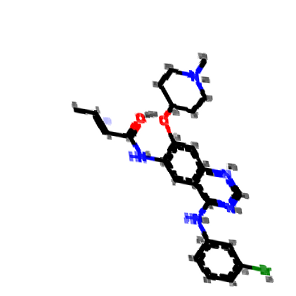 C/C=C/C(=O)Nc1cc2c(Nc3cccc(Br)c3)ncnc2cc1OC1CCN(C)CC1